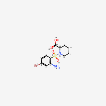 Nc1cc(Br)ccc1S(=O)(=O)N1CCCCC1C(=O)O